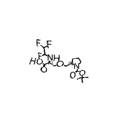 CC(C)(C)OC(=O)N1CCC[C@@H]1COC[C@H](NC(F)C(F)F)C(=O)O